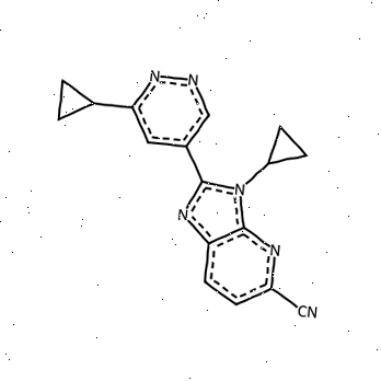 N#Cc1ccc2nc(-c3cnnc(C4CC4)c3)n(C3CC3)c2n1